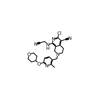 Cc1nc(OC2CCOCC2)ccc1CN1CCc2c(C#N)c(Cl)nc(NCC#N)c2C1